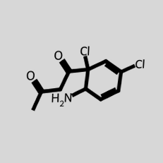 CC(=O)CC(=O)C1(Cl)C=C(Cl)C=CC1N